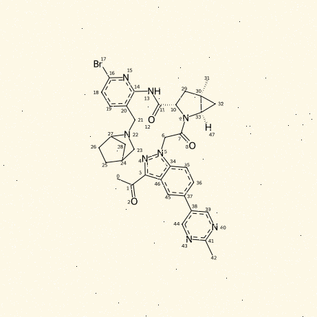 CC(=O)c1nn(CC(=O)N2[C@H](C(=O)Nc3nc(Br)ccc3CN3CC4CCC3C4)C[C@@]3(C)C[C@@H]23)c2ccc(-c3cnc(C)nc3)cc12